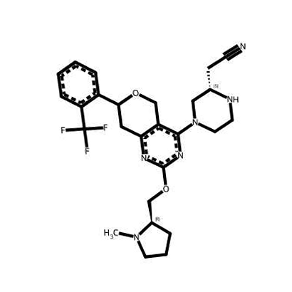 CN1CCC[C@@H]1COc1nc2c(c(N3CCN[C@@H](CC#N)C3)n1)COC(c1ccccc1C(F)(F)F)C2